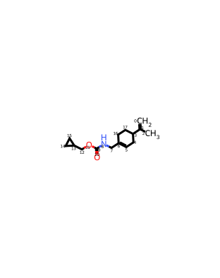 C=C(C)C1CC=C(CNC(=O)OCC2CC2)CC1